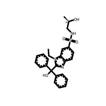 CCn1c(C(O)(c2ccccc2)c2ccccc2)nc2ccc(S(=O)(=O)NC[C@@H](C)O)cc21